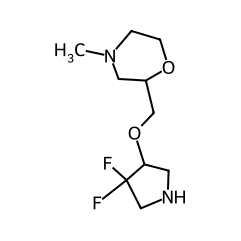 CN1CCOC(COC2CNCC2(F)F)C1